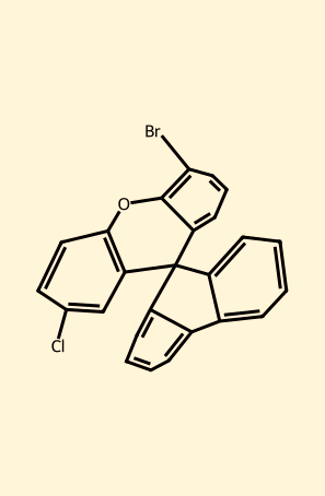 Clc1ccc2c(c1)C1(c3ccccc3-c3ccccc31)c1cccc(Br)c1O2